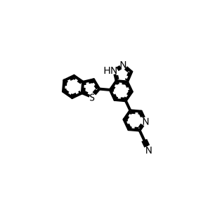 N#Cc1ccc(-c2cc(-c3cc4ccccc4s3)c3[nH]ncc3c2)cn1